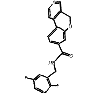 O=C(NCc1cc(F)ccc1F)c1ccc2c(c1)OCc1cnccc1-2